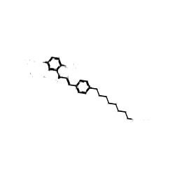 CCCCCCCCCCCCCCCCCCc1ccc(C=CC(=O)c2c(OC)ccc(OC)c2OC)cc1